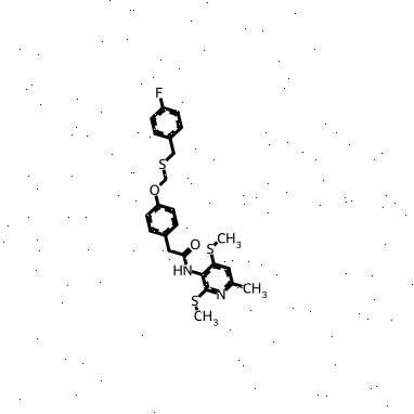 CSc1cc(C)nc(SC)c1NC(=O)Cc1ccc(OCSCc2ccc(F)cc2)cc1